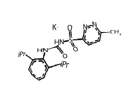 Cc1ccc(S(=O)(=O)NC(=O)Nc2c(C(C)C)cccc2C(C)C)nn1.[K]